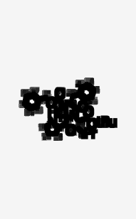 CC(C)C[C@@H](C(=O)OC(C)(C)C)N(C(=O)C(=O)C1CCCN1)C(=O)[C@H](Cc1ccccc1)NC(=O)OCc1ccccc1